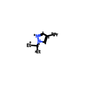 CCC(CC)n1cc(C(C)C)cn1